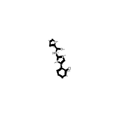 O=C(Nc1ncc(-c2ccccc2Cl)s1)c1ccco1